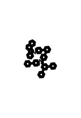 c1ccc(-c2ccc(N(c3ccc(-c4ccccc4-c4ccc(-n5c6ccccc6c6ccc7ccccc7c65)cc4)cc3)c3cc(-c4ccccc4)cc(-c4ccccc4)c3)cc2)cc1